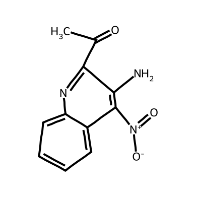 CC(=O)c1nc2ccccc2c([N+](=O)[O-])c1N